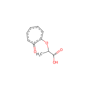 CC(Oc1cccccc1=O)C(=O)O